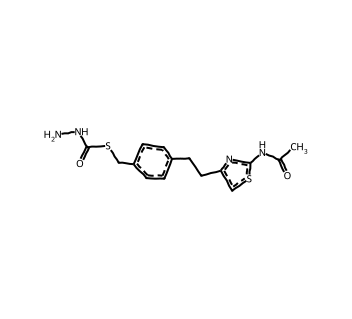 CC(=O)Nc1nc(CCc2ccc(CSC(=O)NN)cc2)cs1